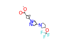 COC(=O)C12CC(n3cc(N4CCC(OC(F)(F)F)C4)cn3)(C1)C2